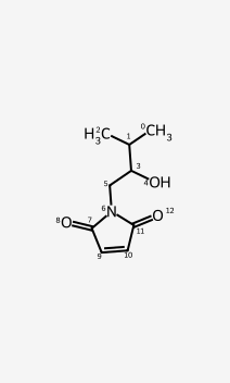 CC(C)C(O)CN1C(=O)C=CC1=O